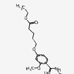 CCOC(=O)CCCCOc1ccc(C(=N)NO)c(OC)c1